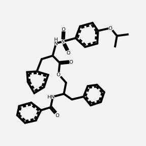 CC(C)Oc1ccc(S(=O)(=O)NC(Cc2ccccc2)C(=O)OCC(Cc2ccccc2)NC(=O)c2ccccc2)cc1